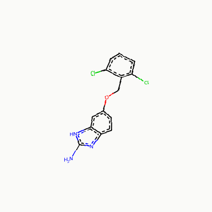 Nc1nc2ccc(OCc3c(Cl)cccc3Cl)cc2[nH]1